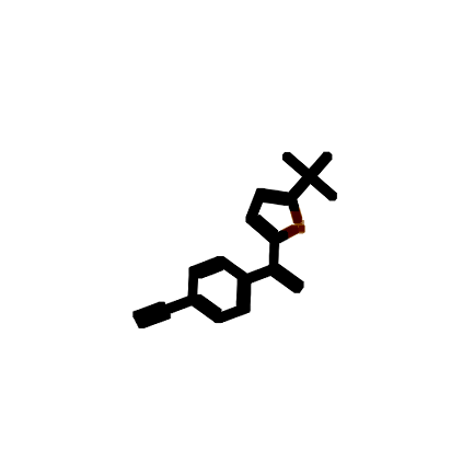 C#Cc1ccc(C(=C)c2ccc(C(C)(C)C)s2)cc1